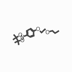 CCCOCCOc1ccc(N2OC(C)(C)C(C)(C)O2)cc1